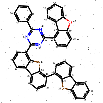 c1ccc(-c2nc(-c3cccc4c3sc3c(-c5cccc6c5sc5ccccc56)cccc34)nc(-c3cccc4oc5ccccc5c34)n2)cc1